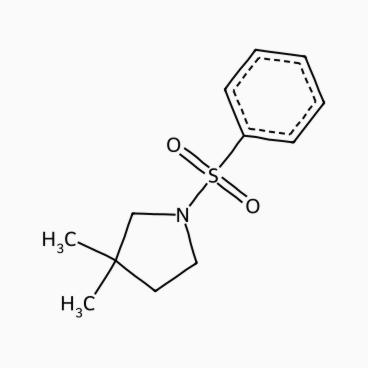 CC1(C)CCN(S(=O)(=O)c2ccccc2)C1